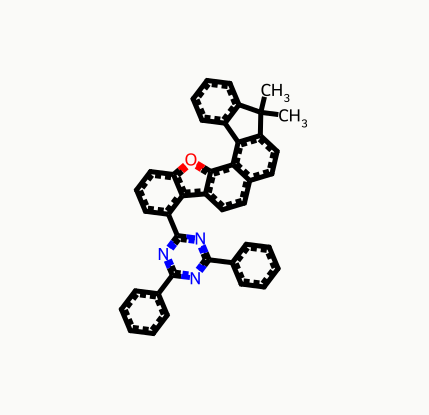 CC1(C)c2ccccc2-c2c1ccc1ccc3c(oc4cccc(-c5nc(-c6ccccc6)nc(-c6ccccc6)n5)c43)c21